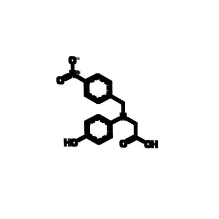 O=C(O)CN(Cc1ccc([N+](=O)[O-])cc1)c1ccc(O)cc1